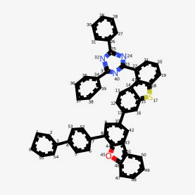 c1ccc(-c2ccc(-c3cc(-c4ccc5c(c4)sc4cccc(-c6nc(-c7ccccc7)nc(-c7ccccc7)n6)c45)cc4c3oc3ccccc34)cc2)cc1